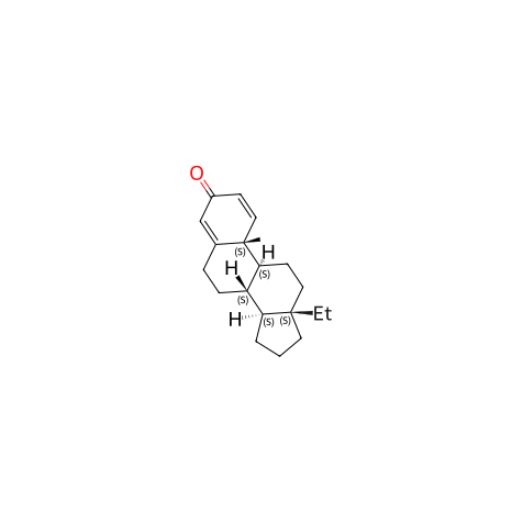 CC[C@@]12CCC[C@H]1[C@@H]1CCC3=CC(=O)C=C[C@]3(C)[C@H]1CC2